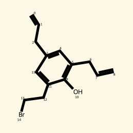 C=CCc1cc(CC=C)c(O)c(CCBr)c1